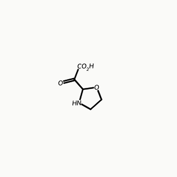 O=C(O)C(=O)C1NCCO1